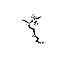 CN(CCOCCO)S(C)(=O)=O